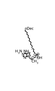 CCCCCCCCCCCCCCCCCCCCSCCCOP(=O)(O)CO[C@H](C)Cn1cnc2c(N)ncnc21.N